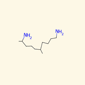 CC(N)CCCC(C)CCCCN